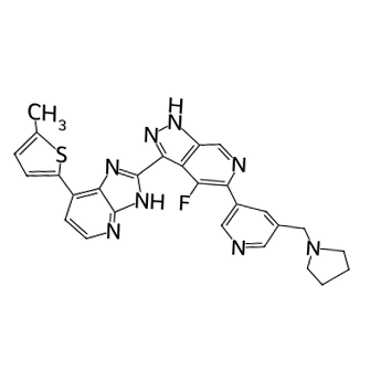 Cc1ccc(-c2ccnc3[nH]c(-c4n[nH]c5cnc(-c6cncc(CN7CCCC7)c6)c(F)c45)nc23)s1